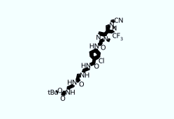 Cn1c(-c2cn(CC#N)nc2C(F)(F)F)cnc1C(=O)Nc1ccc(C(=O)NCCNCC(=O)NCCNC(=O)OC(C)(C)C)c(Cl)c1